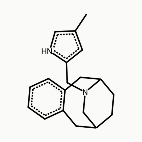 Cc1c[nH]c(CN2CC3CCC2Cc2ccccc2C3)c1